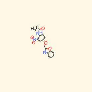 CC(=O)Nc1ccc(OCc2nc3ccccc3o2)cc1[N+](=O)[O-]